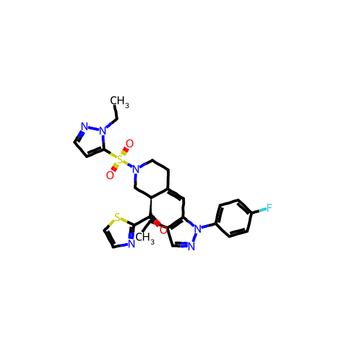 CCc1cnn(-c2ccc(F)cc2)c1/C=C1/CCN(S(=O)(=O)c2ccnn2CC)C[C@@H]1C(=O)c1nccs1